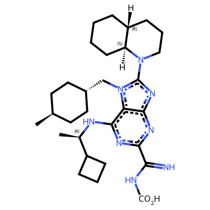 C[C@@H](Nc1nc(C(=N)NC(=O)O)nc2nc(N3CCC[C@H]4CCCC[C@@H]43)n(C[C@H]3CC[C@H](C)CC3)c12)C1CCC1